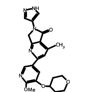 COc1ncc(-c2cc(C)c3c(n2)CN(c2cn[nH]c2)C3=O)cc1OC1CCOCC1